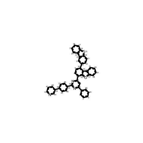 c1ccc(-c2cc(-c3ccc(-c4ccc5sc6ccccc6c5c4)c4c3oc3ccccc34)nc(-c3ccc(-c4cccnc4)cc3)n2)cc1